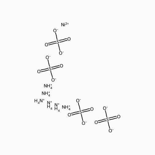 O=S(=O)([O-])[O-].O=S(=O)([O-])[O-].O=S(=O)([O-])[O-].O=S(=O)([O-])[O-].[NH4+].[NH4+].[NH4+].[NH4+].[NH4+].[NH4+].[Ni+2]